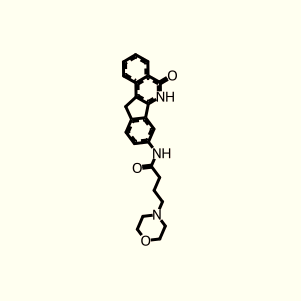 O=C(CCCN1CCOCC1)Nc1ccc2c(c1)-c1[nH]c(=O)c3ccccc3c1C2